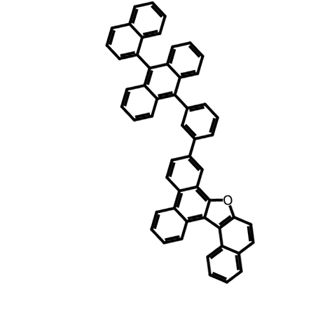 c1cc(-c2ccc3c4ccccc4c4c(oc5ccc6ccccc6c54)c3c2)cc(-c2c3ccccc3c(-c3cccc4ccccc34)c3ccccc23)c1